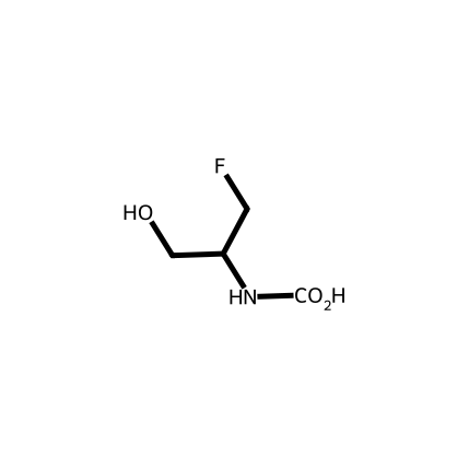 O=C(O)NC(CO)CF